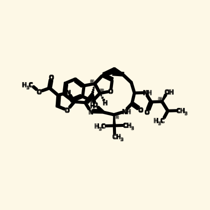 COC(=O)c1coc(-c2nc3oc2[C@@]24c5ccccc5N[C@@H]2Oc2ccc(cc24)CC(NC(=O)[C@@H](O)C(C)C)C(=O)N[C@H]3C(C)(C)C)n1